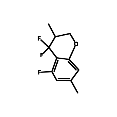 Cc1cc(F)c2c(c1)OCC(C)C2(F)F